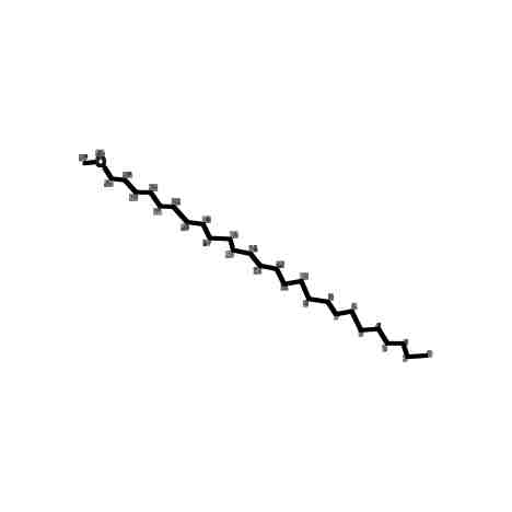 CCCCCCCCCCCCCCCCCCCCCCCCCCOC